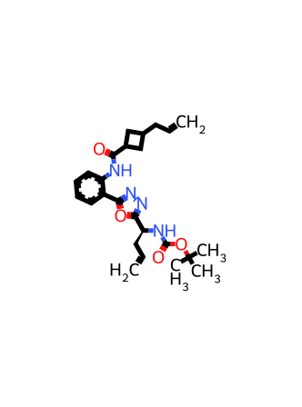 C=CCC1CC(C(=O)Nc2ccccc2-c2nnc([C@H](CC=C)NC(=O)OC(C)(C)C)o2)C1